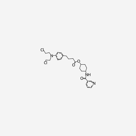 O=C(CCCc1ccc(N(CCCl)CCCl)cc1)OC1CCC(NC(=O)c2cccnc2)CC1